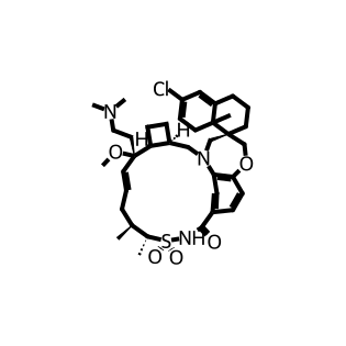 CO[C@@]1(CCN(C)C)/C=C/C[C@H](C)[C@@H](C)S(=O)(=O)NC(=O)c2ccc3c(c2)N(C[C@@H]2CC[C@H]21)C[C@@]1(CCCC2=CC(Cl)=CCC21C)CO3